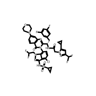 O=C(Cn1nc(C(F)F)cc1C1CC1)N[C@@H](Cc1cc(F)cc(F)c1)c1nc2cc(N3CCOCC3)ccc2c(=O)n1-c1ccc(Cl)c2c(NS(=O)(=O)C3CC3)nn(CC(F)F)c12